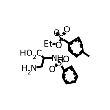 CCOS(=O)(=O)c1ccc(C)cc1.NCC(NS(=O)(=O)c1ccccc1)C(=O)O